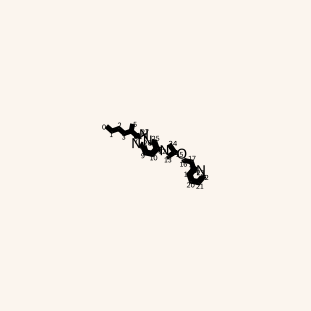 CCCCC(C)c1nc2ccc(N3CC(OCCc4ccccn4)C3)cn2n1